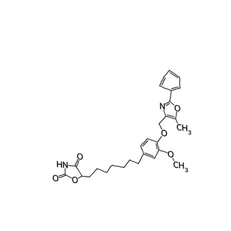 COc1cc(CCCCCCCC2OC(=O)NC2=O)ccc1OCc1nc(-c2ccccc2)oc1C